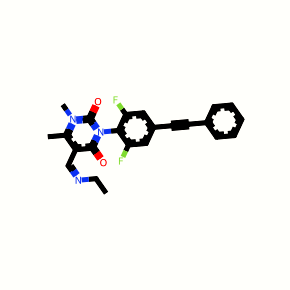 CC/N=C\c1c(C)n(C)c(=O)n(-c2c(F)cc(C#Cc3ccccc3)cc2F)c1=O